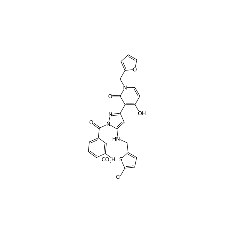 O=C(O)c1cccc(C(=O)n2nc(-c3c(O)ccn(Cc4ccco4)c3=O)cc2NCc2ccc(Cl)s2)c1